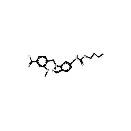 CCCCOC(=O)Nc1ccc2cnn(Cc3ccc(C(=O)O)cc3OC)c2c1